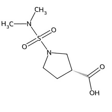 CN(C)S(=O)(=O)N1CC[C@@H](C(=O)O)C1